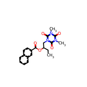 CCC(Cn1c(=O)n(C)c(=O)n(C)c1=O)OC(=O)c1ccc2ccccc2c1